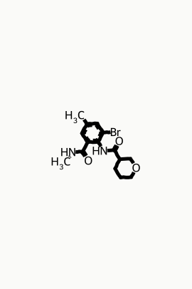 CNC(=O)c1cc(C)cc(Br)c1NC(=O)C1CCCOC1